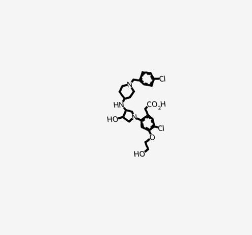 O=C(O)Cc1cc(Cl)c(OCCO)cc1N1CC(O)C(NC2CCN(Cc3ccc(Cl)cc3)CC2)C1